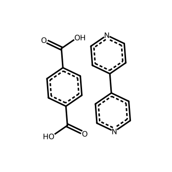 O=C(O)c1ccc(C(=O)O)cc1.c1cc(-c2ccncc2)ccn1